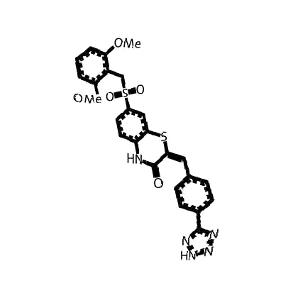 COc1cccc(OC)c1CS(=O)(=O)c1ccc2c(c1)SC(=Cc1ccc(-c3nn[nH]n3)cc1)C(=O)N2